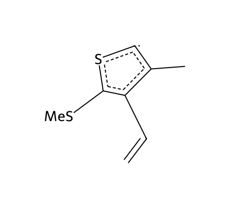 C=Cc1c(C)[c]sc1SC